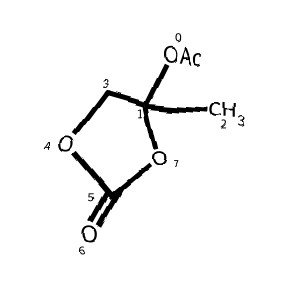 CC(=O)OC1(C)COC(=O)O1